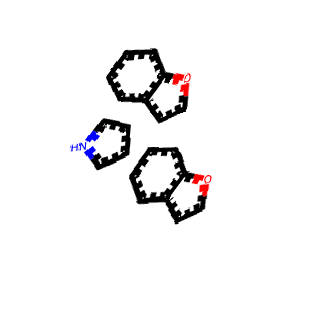 c1cc[nH]c1.c1ccc2occc2c1.c1ccc2occc2c1